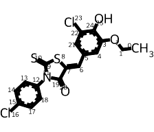 CCOc1cc(/C=C2\SC(=S)N(c3ccc(Cl)cc3)C2=O)cc(Cl)c1O